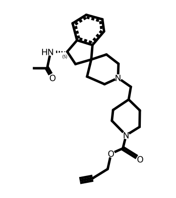 C#CCOC(=O)N1CCC(CN2CCC3(CC2)C[C@H](NC(C)=O)c2ccccc23)CC1